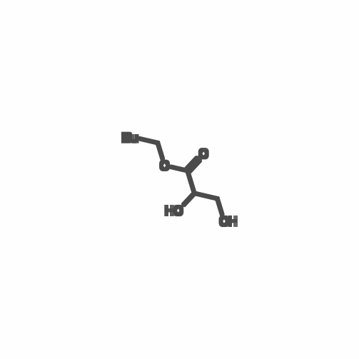 CCC(C)COC(=O)C(O)CO